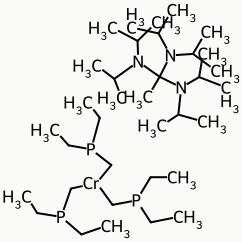 CC(C)N(C(C)C)C(C)(N(C(C)C)C(C)C)N(C(C)C)C(C)C.CCP(CC)[CH2][Cr]([CH2]P(CC)CC)[CH2]P(CC)CC